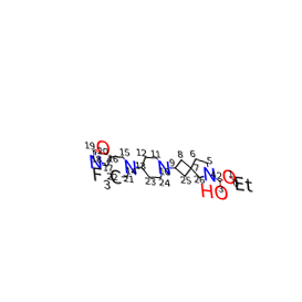 CCOC(O)N1CCC2(CC(N3CCC(N(Cc4cnco4)CC(F)(F)F)CC3)C2)C1